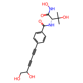 CC(C)(O)[C@H](NC(=O)c1ccc(C#CC#CC(O)CO)cc1)C(=O)NO